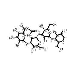 CC(=O)NC1[C@H](OC2C(O)[C@H](O[C@@H]3C(CO)OCC(O)C3O)OC(CO)[C@@H]2O)OC(CO)[C@@H](O)[C@@H]1O[C@@H]1OC(CO)[C@H](O)[C@H](O)C1O